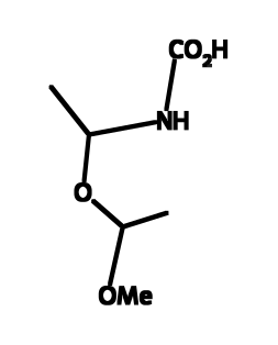 COC(C)OC(C)NC(=O)O